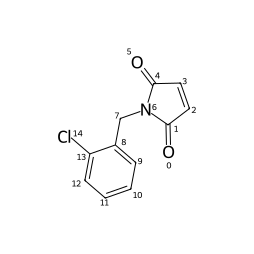 O=C1C=CC(=O)N1Cc1ccccc1Cl